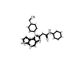 N#CC[C@H]1CC[C@H](n2c(CC(=O)NC3CCCCC3)nc3cnc4[nH]ccc4c32)CC1